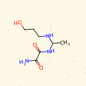 CC(NCCCO)NC(=O)C(N)=O